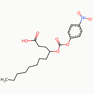 CCCCCCCCC(CCC(=O)O)OC(=O)Oc1ccc([N+](=O)[O-])cc1